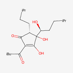 CCC(C)C(=O)C1=C(O)C(O)([C@@H](O)CCC(C)C)[C@@H](CCC(C)C)C1=O